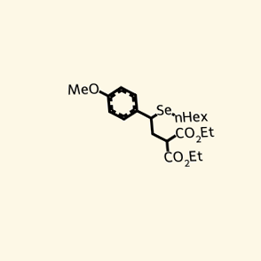 CCCCCC[Se]C(CC(C(=O)OCC)C(=O)OCC)c1ccc(OC)cc1